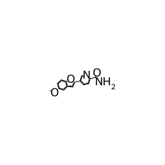 COc1ccc2oc(-c3ccc(C(N)=O)nc3)cc2c1